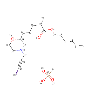 CCCCCCOC(=O)C(C)CCCC1CN(CC#CI)CCO1.CS(=O)(=O)O